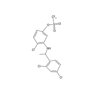 CC(Nc1cc(OS(=O)(=O)C(F)(F)F)ccc1Cl)c1ccc(Cl)cc1Cl